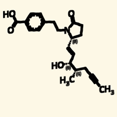 CC#CC[C@H](C)[C@H](O)C=C[C@H]1CCC(=O)N1CCc1ccc(C(=O)O)cc1